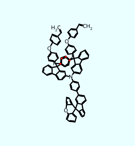 C=Cc1ccc(Oc2ccc(C3(c4ccc(F)cc4)c4ccccc4-c4ccc(N(c5ccc(-c6ccc7c(c6)C6(c8ccccc8Oc8ccccc86)c6ccccc6-7)cc5)c5ccc6c(c5)C(c5ccc(F)cc5)(c5ccc(Oc7ccc(C=C)cc7)cc5)c5ccccc5-6)cc43)cc2)cc1